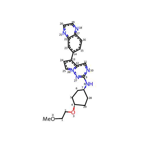 COCCO[C@H]1CC[C@@H](Nc2ncc3c(-c4ccc5nccnc5c4)ccn3n2)CC1